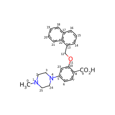 CN1CCN(c2ccc(C(=O)O)c(OCc3cccc4ccccc34)c2)CC1